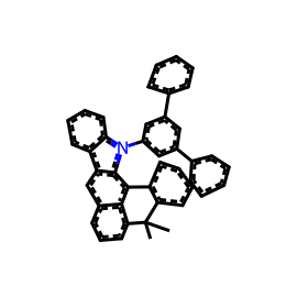 CC1(C)c2ccccc2-c2c3c1cccc3cc1c3ccccc3n(-c3cc(-c4ccccc4)cc(-c4ccccc4)c3)c21